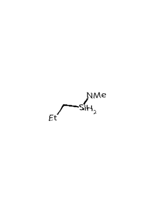 CCC[SiH2]NC